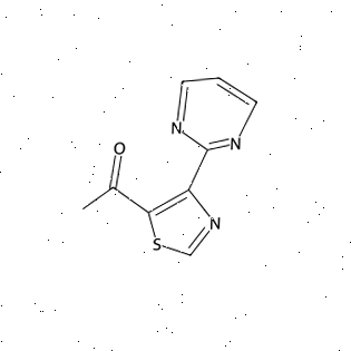 CC(=O)c1scnc1-c1ncccn1